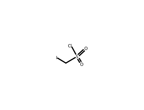 O=S(=O)(Cl)CI